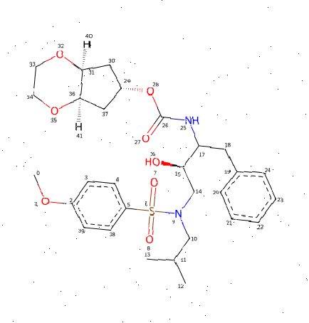 COc1ccc(S(=O)(=O)N(CC(C)C)C[C@@H](O)C(Cc2ccccc2)NC(=O)O[C@H]2C[C@@H]3OCCO[C@@H]3C2)cc1